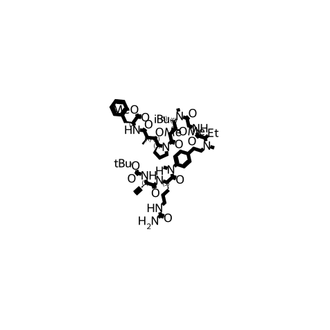 C#C[C@H](NC(=O)OC(C)(C)C)C(=O)N[C@@H](CCCNC(N)=O)C(=O)N(C)C1=CCC(CCN(C)C(CC)C(=O)NCC(=O)N(C)[C@@H]([C@@H](C)CC)[C@@H](CC(=O)N2CCC[C@H]2[C@H](OC)[C@@H](C)C(=O)N[C@@H](Cc2ccccc2)C(=O)OC)OC)C=C1